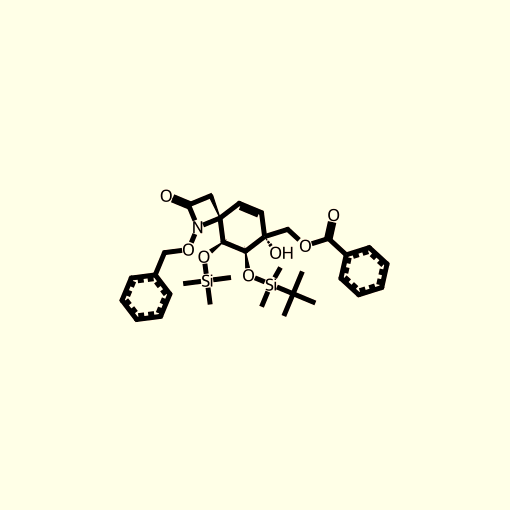 CC(C)(C)[Si](C)(C)O[C@H]1[C@@H](O[Si](C)(C)C)[C@]2(C=C[C@@]1(O)COC(=O)c1ccccc1)CC(=O)N2OCc1ccccc1